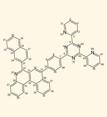 c1ccc(-c2nc(-c3ccc(-c4cc5c(-c6ccc7ccccc7c6)nc6ccccc6c5c5ccccc45)cc3)nc(-c3ccccn3)n2)nc1